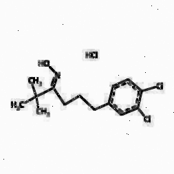 CC(C)(C)C(CCCc1ccc(Cl)c(Cl)c1)=NO.Cl